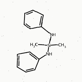 C[Si](C)(Nc1ccccc1)Nc1ccccc1